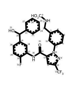 O=C(O)NCc1cccc(-n2nc(C(F)(F)F)cc2C(=O)Nc2cc(C(O)c3ccccc3)ccc2F)c1